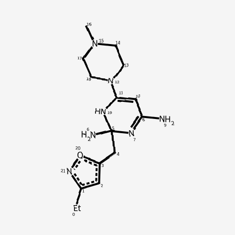 CCc1cc(CC2(N)N=C(N)C=C(N3CCN(C)CC3)N2)on1